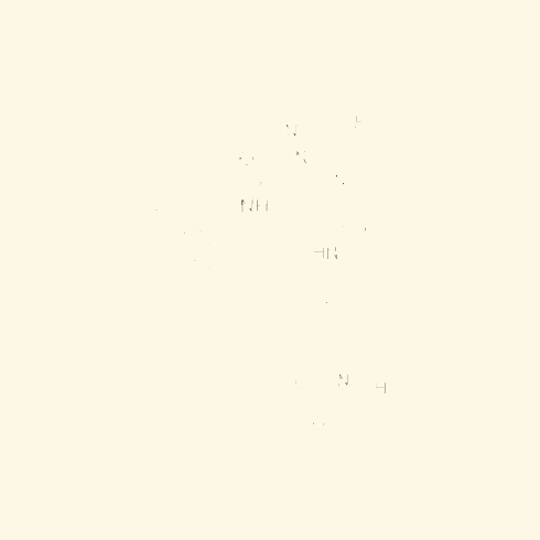 Cn1c(=O)oc2ccc(CNC(=O)c3cc(C(=O)NCC45CC6CC(CC(C6)C4)C5)n4ncc(F)c4n3)cc21